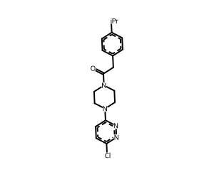 CC(C)c1ccc(CC(=O)N2CCN(c3ccc(Cl)nn3)CC2)cc1